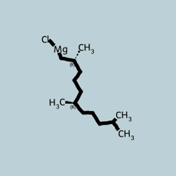 CC(C)CCC[C@@H](C)CCC[C@@H](C)[CH2][Mg][Cl]